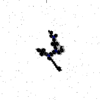 C=Cc1cccc(-c2cccc(N(c3ccccc3)c3ccc(-c4c5ccccc5c(-c5ccc(N(c6ccc(-c7ccc(N(c8ccc(-c9c%10ccccc%10c(-c%10ccc(C)cc%10)c%10ccccc9%10)cc8)c8cccc(CCCCCCCCc9ccc%10c(c9)CC%10)c8)cc7)cc6)c6cccc(-c7cccc(C=C)c7)c6)cc5)c5ccccc45)cc3)c2)c1